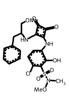 COCC(Cc1ccccc1)Nc1c(Nc2ccc(Cl)c(S(=O)(=O)N(C)OC)c2O)c(=O)c1=O